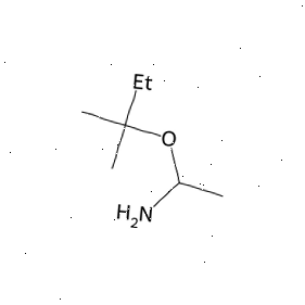 CCC(C)(C)OC(C)N